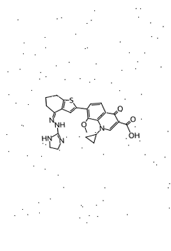 COc1c(-c2cc3c(s2)CCC/C3=N/NC2=NCCN2)ccc2c(=O)c(C(=O)O)cn(C3CC3)c12